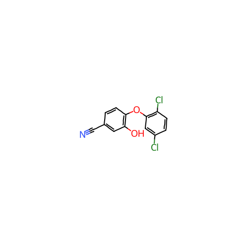 N#Cc1ccc(Oc2cc(Cl)ccc2Cl)c(O)c1